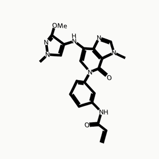 C=CC(=O)Nc1cccc(-n2cc(Nc3cn(C)nc3OC)c3ncn(C)c3c2=O)c1